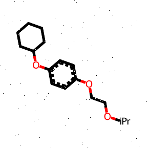 CC(C)OCCOc1ccc(OC2CCCCC2)cc1